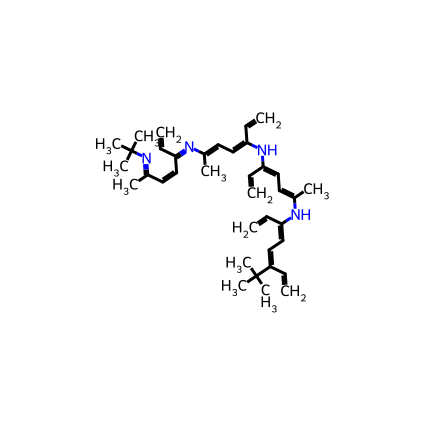 C=CC(/C=C\C(C)=NC(C)(C)C)=N/C(C)=C/C=C(\C=C)N/C(C=C)=C/C=C(\C)N/C(C=C)=C/C=C(\C=C)C(C)(C)C